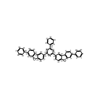 c1ccc(-c2ccc3c(c2)oc2ccc(-c4nc(-c5ccccc5)nc(-c5ccc6oc7cc(-c8ccccc8)ccc7c6c5)n4)cc23)cc1